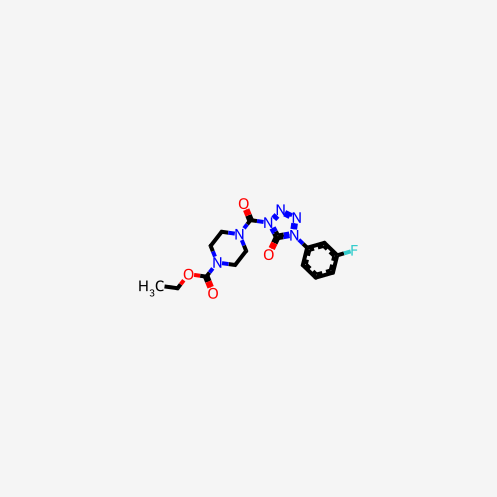 CCOC(=O)N1CCN(C(=O)n2nnn(-c3cccc(F)c3)c2=O)CC1